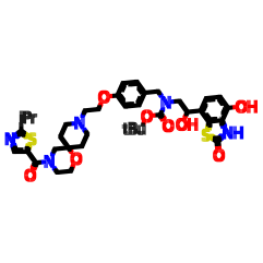 CC(C)c1ncc(C(=O)N2CCOC3(CCN(CCOc4ccc(CN(CC(O)c5ccc(O)c6[nH]c(=O)sc56)C(=O)OC(C)(C)C)cc4)CC3)C2)s1